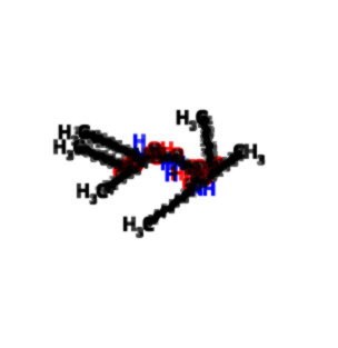 CCCCCCCCCCCCCC(=O)N[C@H](COCC(CCCCCCCC)OC(=O)CCCCCCCCCCC)COP(=O)(O)OCCNC(=O)NCCOP(=O)(O)OC[C@@H](COCC(CCCCCCCC)OC(=O)CCCCCCCCCCC)NC(=O)CCCCCCCCCCCCC